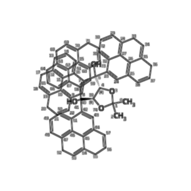 CC1(C)O[C@@H](C(O)(c2cc3c4c5c(cccc25)CC=C4CC=C3)c2cc3c4c5c(cccc25)CC=C4CC=C3)[C@H](C(O)(c2cc3c4c5c(cccc25)CC=C4CC=C3)c2cc3c4c5c(cccc25)CC=C4CC=C3)O1